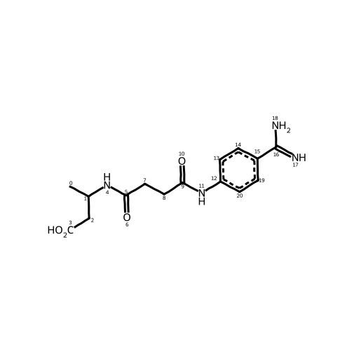 CC(CC(=O)O)NC(=O)CCC(=O)Nc1ccc(C(=N)N)cc1